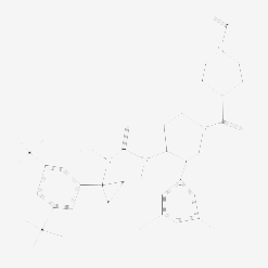 CC(=O)N1CCC(C(=O)N2CCC(N(C)C(=O)N(C)C3(c4cc(C(F)(F)F)cc(C(F)(F)F)c4)CC3)C(c3cc(Cl)cc(Cl)c3)C2)CC1